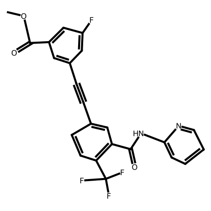 COC(=O)c1cc(F)cc(C#Cc2ccc(C(F)(F)F)c(C(=O)Nc3ccccn3)c2)c1